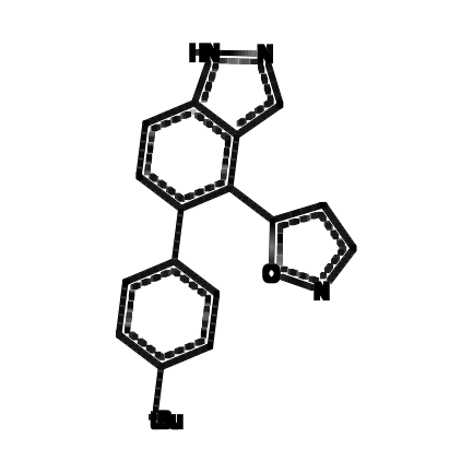 CC(C)(C)c1ccc(-c2ccc3[nH]ncc3c2-c2ccno2)cc1